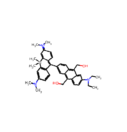 CCN(CC)c1ccc2c(CO)c3cc(C4=C5C=CC(=[N+](C)C)C=C5[Si](C)(C)c5cc(N(C)C)ccc54)ccc3c(CO)c2c1